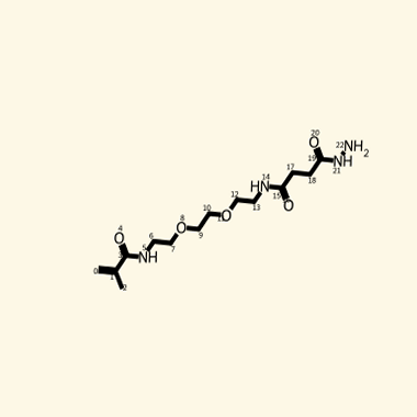 C=C(C)C(=O)NCCOCCOCCNC(=O)CCC(=O)NN